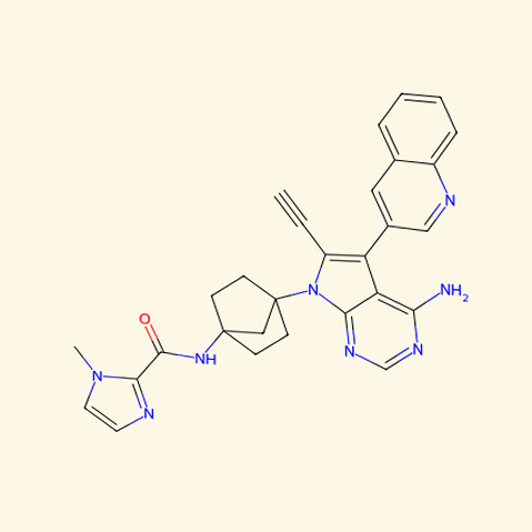 C#Cc1c(-c2cnc3ccccc3c2)c2c(N)ncnc2n1C12CCC(NC(=O)c3nccn3C)(CC1)C2